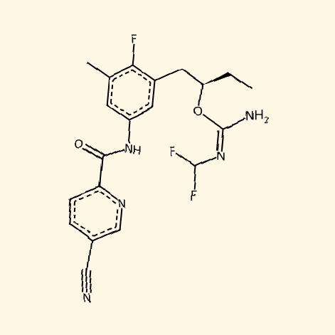 CC[C@H](Cc1cc(NC(=O)c2ccc(C#N)cn2)cc(C)c1F)O/C(N)=N\C(F)F